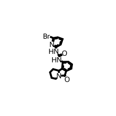 O=C(Nc1cccc(Br)n1)Nc1cccc2c1C1CCCCN1C2=O